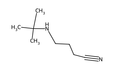 CC(C)(C)NCCCC#N